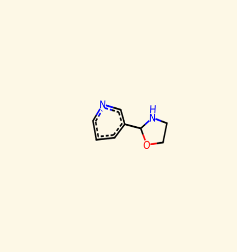 c1cncc(C2NCCO2)c1